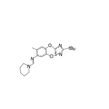 Cc1cc(Oc2nc(C(C)(C)C)ns2)c(Cl)cc1/N=C/N1CCCCC1